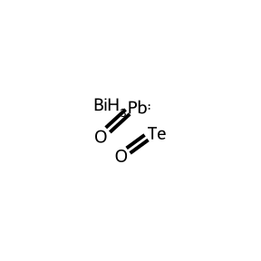 O=[Te].[BiH3].[O]=[Pb]